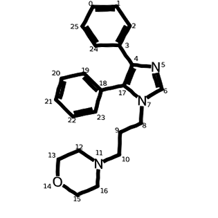 c1ccc(-c2ncn(CCCN3CCOCC3)c2-c2ccccc2)cc1